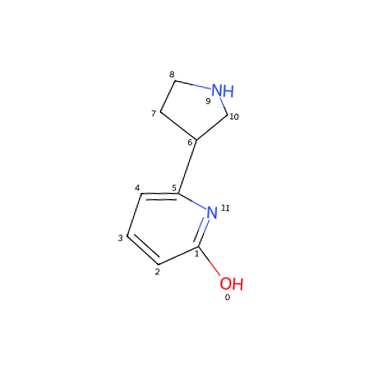 Oc1cccc(C2CCNC2)n1